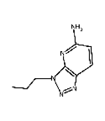 CCCn1nnc2ccc(N)nc21